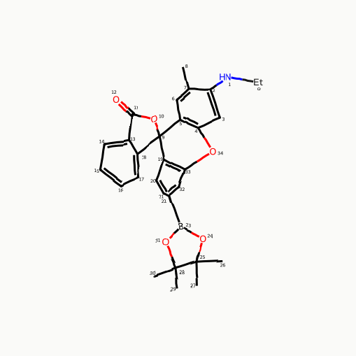 CCNc1cc2c(cc1C)C1(OC(=O)c3ccccc31)c1ccc(B3OC(C)(C)C(C)(C)O3)cc1O2